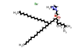 CCCCCCCCCCCCCCCCCCC(CCCCCCCCCCCCCCCCCC)CCCCC(CCC(C)CCCC(C)C)S(=O)(=O)CCCn1cc[n+](C)c1.[Br-]